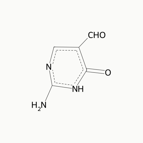 Nc1ncc(C=O)c(=O)[nH]1